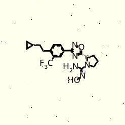 N/C(=N\O)N1CCC[C@H]1c1nc(-c2ccc(CCC3CC3)c(C(F)(F)F)c2)no1